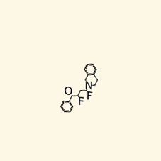 O=C(c1ccccc1)C(F)CC(F)N1CCc2ccccc2C1